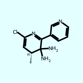 C[C@@H]1C=C(Cl)N=C(c2cccnc2)C1(N)N